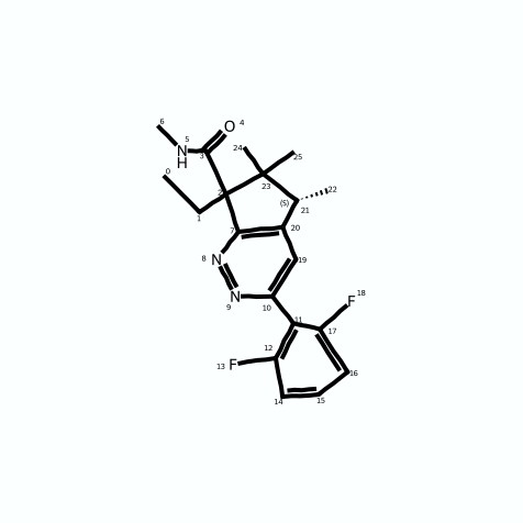 CCC1(C(=O)NC)c2nnc(-c3c(F)cccc3F)cc2[C@@H](C)C1(C)C